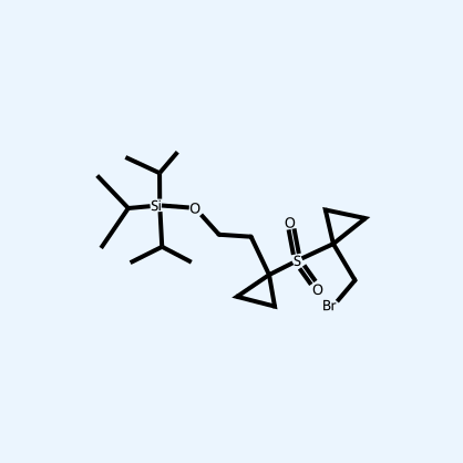 CC(C)[Si](OCCC1(S(=O)(=O)C2(CBr)CC2)CC1)(C(C)C)C(C)C